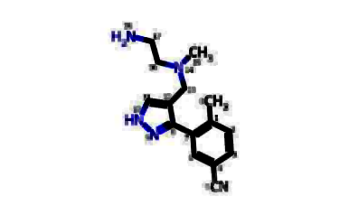 Cc1ccc(C#N)cc1-c1n[nH]cc1CN(C)CCN